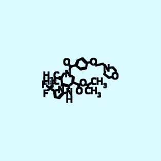 CC(C)OC(=O)C1=CN(C(=O)c2ccc(OCCN3CCOCC3)cc2)CC(C)(C)c2c1[nH]c1ccc(C(F)(F)F)n21